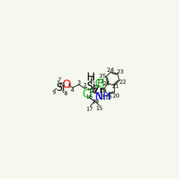 C[SiH](CCCO[Si](C)(C)C)[Zr]([Cl])([Cl])([NH]C(C)(C)C)[CH]1C=Cc2ccccc21